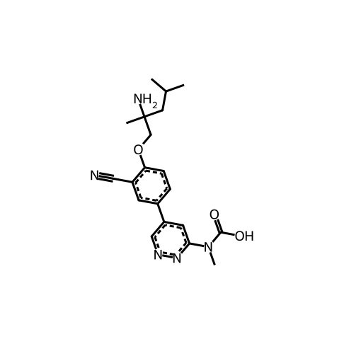 CC(C)CC(C)(N)COc1ccc(-c2cnnc(N(C)C(=O)O)c2)cc1C#N